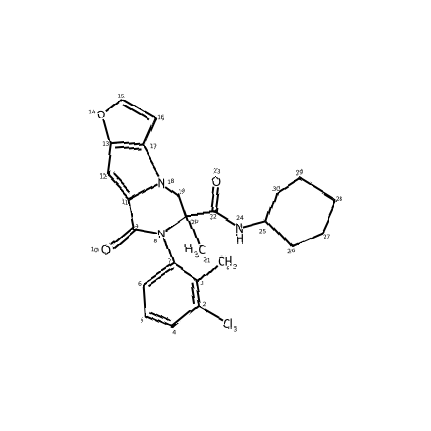 Cc1c(Cl)cccc1N1C(=O)c2cc3occc3n2CC1(C)C(=O)NC1CCCCC1